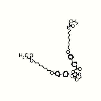 C=CC(=O)OCCCCCCCCCOc1ccc(-c2ccc(C(=O)O[C@@H]3OCCO[C@H]3OC(=O)c3ccc(-c4ccc(OCCCCCCCCCOC(=O)C=C)cc4)cc3)cc2)cc1